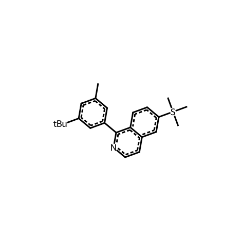 Cc1cc(-c2nccc3cc(S(C)(C)C)ccc23)cc(C(C)(C)C)c1